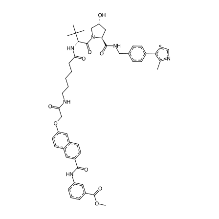 COC(=O)c1cccc(NC(=O)c2ccc3cc(OCC(=O)NCCCCCC(=O)N[C@@H](C(=O)N4C[C@H](O)C[C@H]4C(=O)NCc4ccc(-c5scnc5C)cc4)C(C)(C)C)ccc3c2)c1